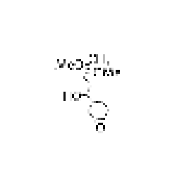 CO[Si](C)(CCC(O)C1CCC2OC2C1)OC